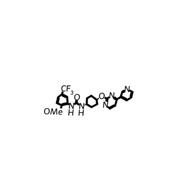 COc1ccc(C(F)(F)F)cc1NC(=O)N[C@H]1CC[C@H](Oc2nccc(-c3cccnc3)n2)CC1